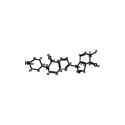 Cn1ccc2c(cnn2-c2ccc3c(=O)n(C4CCNCC4)ccc3c2)c1=O